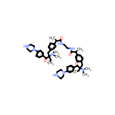 CCC(Cc1ccc(C(C)C(=O)NCCNC(=O)C(C)c2ccc(CC(CC)(C(=O)c3ccc(N4CCNCC4)cc3)N(C)C)cc2)cc1)(C(=O)c1ccc(N2CCNCC2)cc1)N(C)C